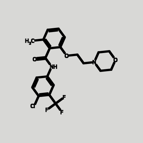 Cc1cccc(OCCN2CCOCC2)c1C(=O)Nc1ccc(Cl)c(C(F)(F)F)c1